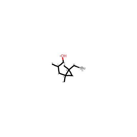 CC(CO)CC1(C)CC1(C)CC(C)(C)C